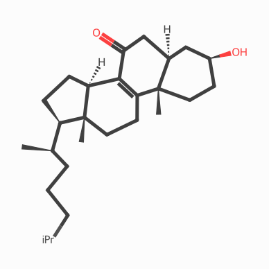 CC(C)CCC[C@@H](C)[C@H]1CC[C@H]2C3=C(CC[C@]12C)[C@@]1(C)CC[C@H](O)C[C@@H]1CC3=O